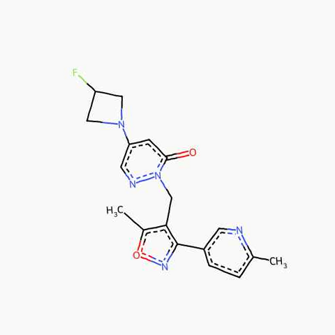 Cc1ccc(-c2noc(C)c2Cn2ncc(N3CC(F)C3)cc2=O)cn1